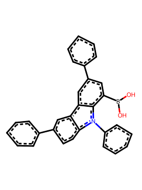 OB(O)c1cc(-c2ccccc2)cc2c3cc(-c4ccccc4)ccc3n(-c3ccccc3)c12